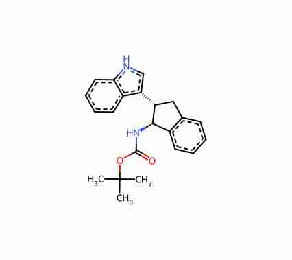 CC(C)(C)OC(=O)N[C@@H]1c2ccccc2C[C@H]1c1c[nH]c2ccccc12